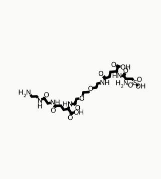 NCCNC(=O)CNC(=O)CCC(NC(=O)COCCOCCNC(=O)CCC(NC(=O)C(N)CS(=O)(=O)O)C(=O)O)C(=O)O